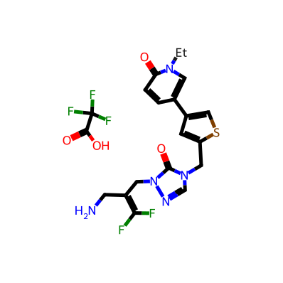 CCn1cc(-c2csc(Cn3cnn(CC(CN)=C(F)F)c3=O)c2)ccc1=O.O=C(O)C(F)(F)F